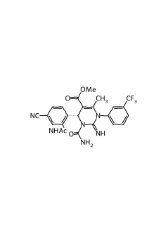 COC(=O)C1=C(C)N(c2cccc(C(F)(F)F)c2)C(=N)N(C(N)=O)[C@@H]1c1ccc(C#N)cc1NC(C)=O